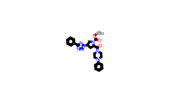 CC(C)(C)OC(=O)N1CC(n2nnc(-c3ccccc3)n2)CC1C(=O)N1CCN(c2ccccc2)CC1